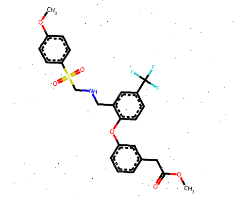 COC(=O)Cc1cccc(Oc2ccc(C(F)(F)F)cc2CNCS(=O)(=O)c2ccc(OC)cc2)c1